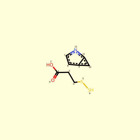 O=C(O)CCSS.c1cc2cc-2n1